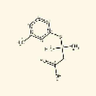 Cc1cccc(SC(C)(C)CC(=O)O)c1